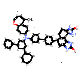 CC1=CC=COC2C=CC(N(C3=CC(c4ccccc4)CC(C4=CCC=CC=C4)=C3)c3ccc(-c4ccc(-c5cc6c(c7c5C=CC5=NC(=O)NC57)=NC(=O)N=6)cc4)cc3)=CC=C12